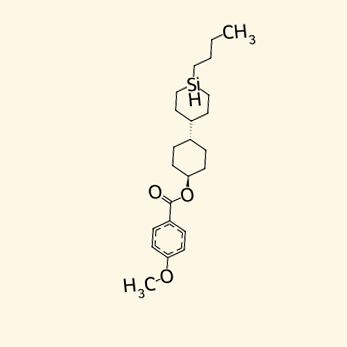 CCCC[SiH]1CCC([C@H]2CC[C@H](OC(=O)c3ccc(OC)cc3)CC2)CC1